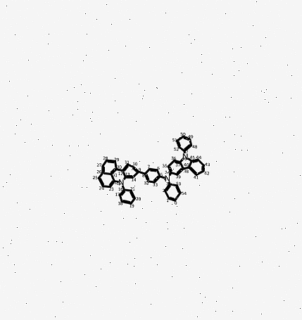 c1ccc(N(c2ccc(-c3ccc4c(c3)N(c3ccccc3)c3cccc5cccc-4c35)cc2)c2ccc3c(c2)c2ccccc2n3-c2ccccc2)cc1